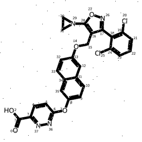 O=C(O)c1ccc(Oc2ccc3cc(OCc4c(-c5c(Cl)cccc5Cl)noc4N4CC4)ccc3c2)nn1